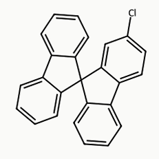 Clc1ccc2c(c1)C1(c3ccccc3-c3ccccc31)c1ccccc1-2